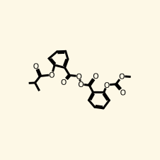 COC(=O)Oc1ccccc1C(=O)OOC(=O)c1ccccc1OC(=O)C(C)C